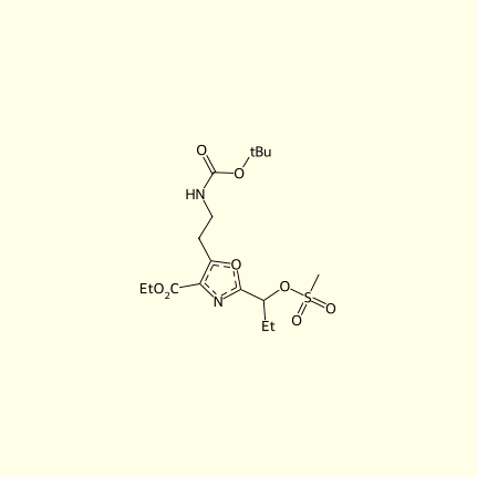 CCOC(=O)c1nc(C(CC)OS(C)(=O)=O)oc1CCNC(=O)OC(C)(C)C